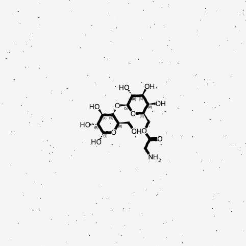 NCC(=O)OC[C@H]1O[C@@H](O[C@H]2[C@H](O)[C@@H](O)[C@@H](O)O[C@@H]2CO)[C@H](O)[C@@H](O)[C@H]1O